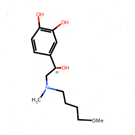 COCCCCN(C)C[C@H](O)c1ccc(O)c(O)c1